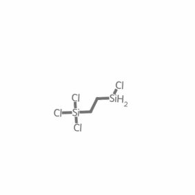 Cl[SiH2]CC[Si](Cl)(Cl)Cl